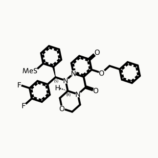 CSc1ccccc1[C@H](c1ccc(F)c(F)c1)N1[C@@H]2COCCN2C(=O)c2c(OCc3ccccc3)c(=O)ccn21